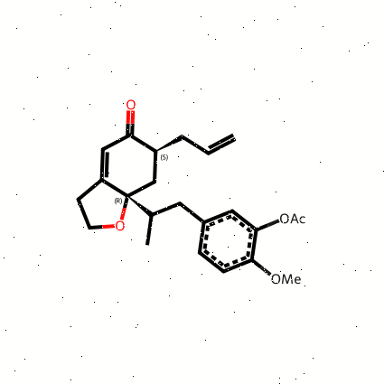 C=CC[C@H]1C[C@]2(C(C)Cc3ccc(OC)c(OC(C)=O)c3)OCCC2=CC1=O